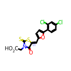 O=C(O)CN1C(=O)/C(=C/c2ccc(-c3ccc(Cl)cc3Cl)o2)SC1=S